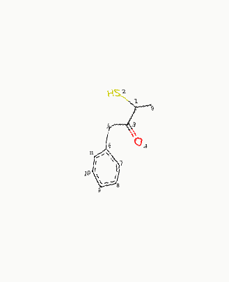 CC(S)C(=O)Cc1ccccc1